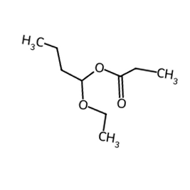 CCCC(OCC)OC(=O)CC